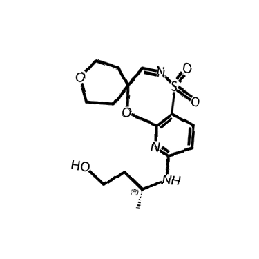 C[C@H](CCO)Nc1ccc2c(n1)OC1(C=NS2(=O)=O)CCOCC1